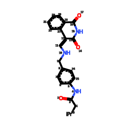 CC(C)CC(=O)Nc1ccc(CN/C=C2\C(=O)NC(=O)c3ccccc32)cc1